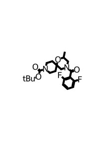 CC1CN(C(=O)c2c(F)cccc2F)CC2(CCN(C(=O)OC(C)(C)C)CC2)O1